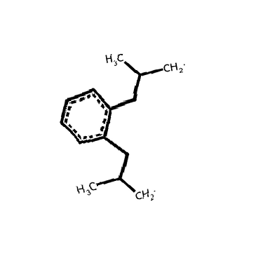 [CH2]C(C)Cc1ccccc1CC([CH2])C